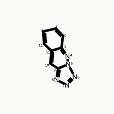 c1ccc2nn3nnnc3cc2c1